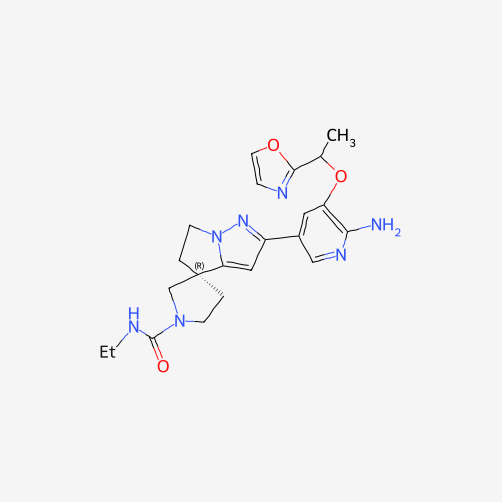 CCNC(=O)N1CC[C@@]2(CCn3nc(-c4cnc(N)c(OC(C)c5ncco5)c4)cc32)C1